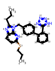 CCCSc1ccc2nc(CCC)n(Cc3ccc(-c4ccccc4-c4nnn[nH]4)cc3)c2n1